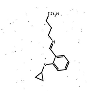 O=C(O)CCCN=Cc1ccccc1SC1CC1